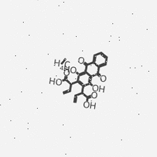 C.C=CC(C(=O)O)c1c(O)c2c(c(O)c1C(C=C)C(=O)O)C(=O)c1ccccc1C2=O.CC